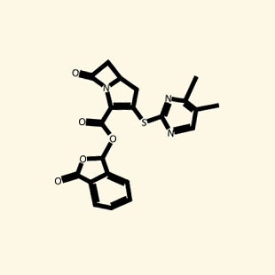 Cc1cnc(SC2=C(C(=O)OC3OC(=O)c4ccccc43)N3C(=O)CC3C2)nc1C